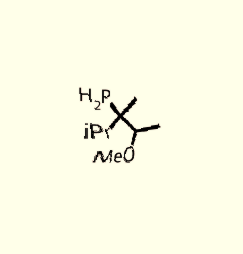 COC(C)C(C)(P)C(C)C